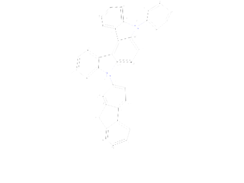 c1ccc(-n2c3ccccc3c3c4c5ccccc5n(-c5ccc6c(c5)Cc5ccccc5-6)c4ccc32)cc1